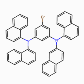 Brc1cc(N(c2ccc3ccccc3c2)c2cccc3ccccc23)cc(N(c2cccc3ccccc23)c2cccc3ccccc23)c1